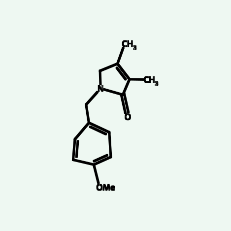 COc1ccc(CN2CC(C)=C(C)C2=O)cc1